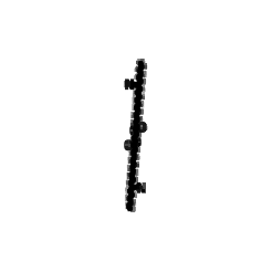 CCCCCCC(C#N)CCCCCCCCCCC(=O)OCCOC(=O)CCCCCCCCCCC(C#N)CCCCCC